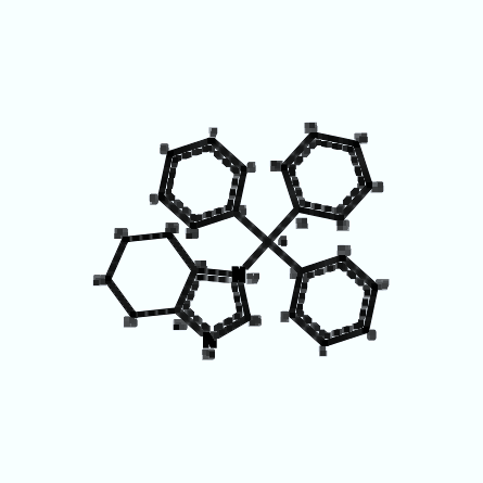 c1ccc(C(c2ccccc2)(c2ccccc2)n2cnc3c2CCCC3)cc1